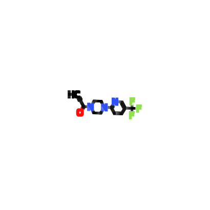 C#CC(=O)N1CCN(c2ccc(C(F)(F)F)cn2)CC1